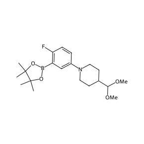 COC(OC)C1CCN(c2ccc(F)c(B3OC(C)(C)C(C)(C)O3)c2)CC1